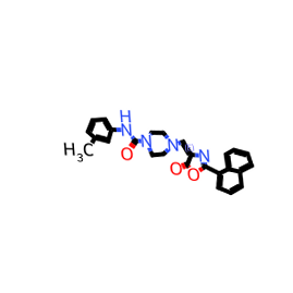 Cc1cccc(NC(=O)N2CCN(/C=C3/N=C(c4cccc5ccccc45)OC3=O)CC2)c1